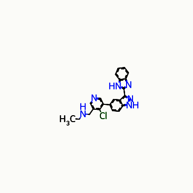 CCNCc1cncc(-c2ccc3[nH]nc(-c4nc5ccccc5[nH]4)c3c2)c1Cl